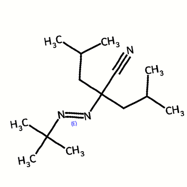 CC(C)CC(C#N)(CC(C)C)/N=N/C(C)(C)C